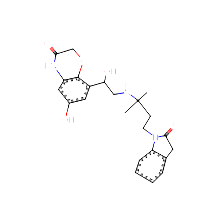 CC(C)(CCN1C(=O)Cc2ccccc21)NCC(O)c1cc(O)cc2c1OCC(=O)N2